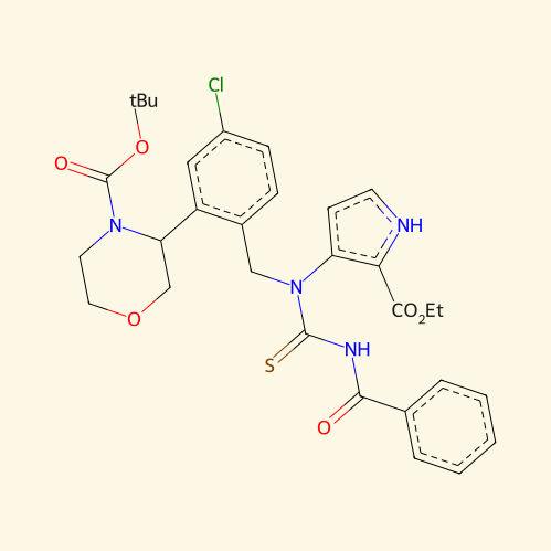 CCOC(=O)c1[nH]ccc1N(Cc1ccc(Cl)cc1C1COCCN1C(=O)OC(C)(C)C)C(=S)NC(=O)c1ccccc1